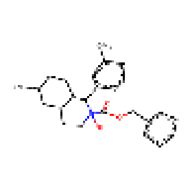 COc1cccc(C2C3CCC(OC(C)=O)CC3CC[N+]2(O)C(=O)OCc2ccccc2)c1